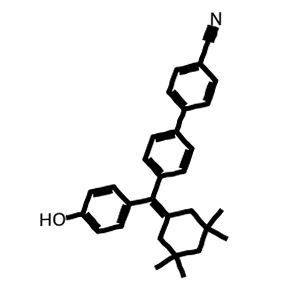 CC1(C)CC(=C(c2ccc(O)cc2)c2ccc(-c3ccc(C#N)cc3)cc2)CC(C)(C)C1